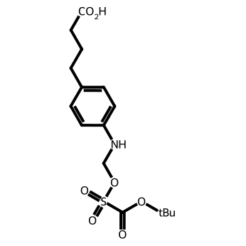 CC(C)(C)OC(=O)S(=O)(=O)OCNc1ccc(CCCC(=O)O)cc1